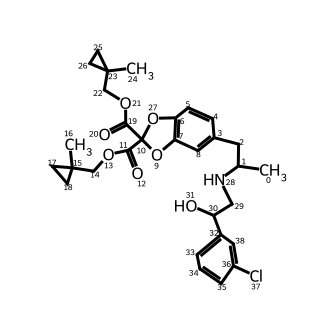 CC(Cc1ccc2c(c1)OC(C(=O)OCC1(C)CC1)(C(=O)OCC1(C)CC1)O2)NCC(O)c1cccc(Cl)c1